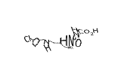 C[C@H](CCCCNCc1cccc(Cl)c1)NC(=O)NCC(=O)O